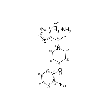 Cc1ncsc1C(CN)N1CCC(Oc2ccccc2F)CC1